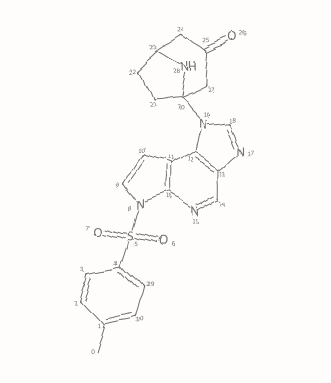 Cc1ccc(S(=O)(=O)n2ccc3c4c(cnc32)ncn4C23CCC(CC(=O)C2)N3)cc1